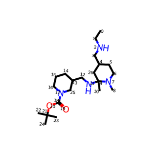 CCNCC1CCN(C)C(C)(NCC2CCCN(C(=O)OC(C)(C)C)C2)C1